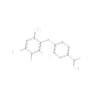 Cc1cc(C)c(Cc2ccc(C(C)C)cc2)c(O)c1Br